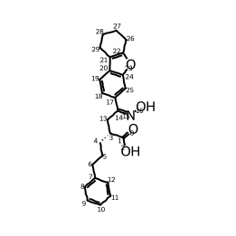 O=C(O)[C@H](CCCc1ccccc1)CC(=NO)c1ccc2c3c(oc2c1)CCCC3